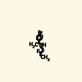 C=C(NC/C=C\C(F)=C/C)c1ccc(Br)nc1